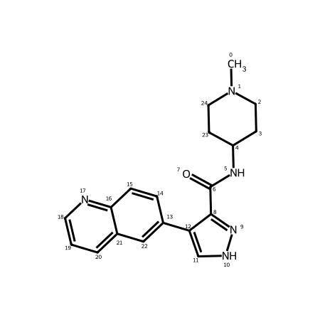 CN1CCC(NC(=O)c2n[nH]cc2-c2ccc3ncccc3c2)CC1